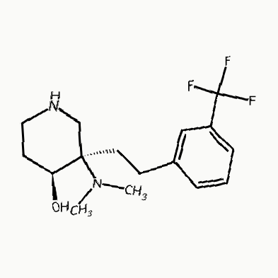 CN(C)[C@]1(CCc2cccc(C(F)(F)F)c2)CNCC[C@@H]1O